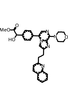 COC(=O)C(O)c1ccc(-c2cnc(N3CCOCC3)c3nc(CCc4ccc5ccccc5n4)cn23)cc1